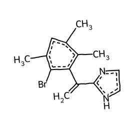 C=C(c1ncc[nH]1)c1c(C)c(C)cc(C)c1Br